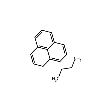 C1=Cc2cccc3cccc(c23)C1.CCCC